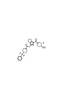 O=C(Cn1nc(C(=O)N2CC[C@H](O)[C@@H](F)C2)c2c1CCC2)N1CCC(C(F)(F)c2ccccc2)CC1